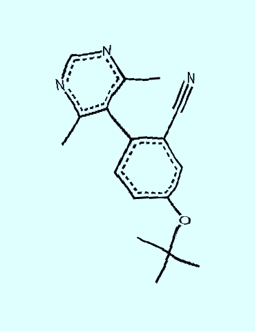 Cc1ncnc(C)c1-c1ccc(OC(C)(C)C)cc1C#N